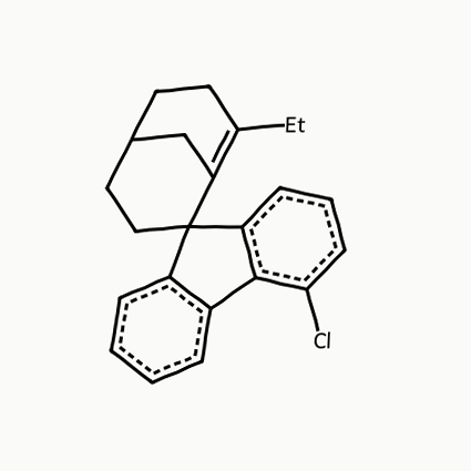 CCC1=C2CC(CC1)CCC21c2ccccc2-c2c(Cl)cccc21